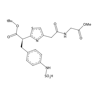 COC(=O)CNC(=O)Cc1csc([C@@H](Cc2ccc(NS(=O)(=O)O)cc2)C(=O)OC(C)(C)C)n1